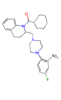 O=C(C1CCCCC1)N1c2ccccc2CCC1CN1CCN(c2ccc(F)cc2[N+](=O)[O-])CC1